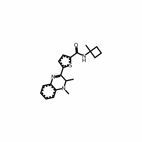 CC1C(c2ccc(C(=O)NC3(C)CCC3)s2)=Nc2ccccc2N1C